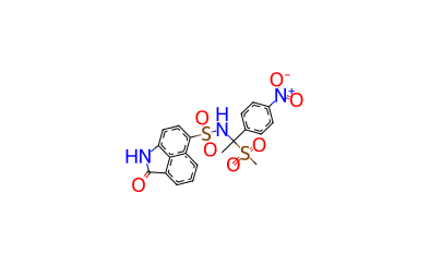 CC(NS(=O)(=O)c1ccc2c3c(cccc13)C(=O)N2)(c1ccc([N+](=O)[O-])cc1)S(C)(=O)=O